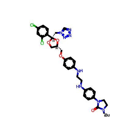 CCC(C)N1CCN(c2ccc(NCCNc3ccc(OC[C@@H]4CO[C@@](Cn5cnnn5)(c5ccc(Cl)cc5Cl)O4)cc3)cc2)C1=O